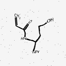 C=CC(=O)NC(CCC)CCO